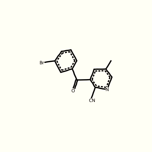 Cc1cnc(C#N)c(C(=O)c2cccc(Br)c2)c1